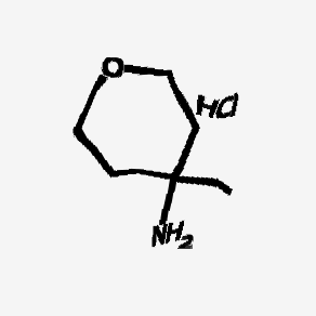 CC1(N)CCOCC1.Cl